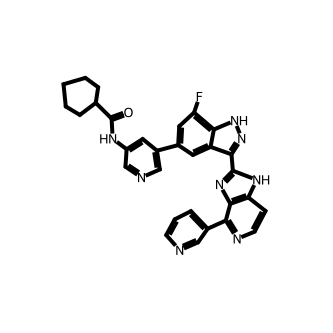 O=C(Nc1cncc(-c2cc(F)c3[nH]nc(-c4nc5c(-c6cccnc6)nccc5[nH]4)c3c2)c1)C1CCCCC1